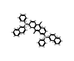 Cc1c2c(c(C)c3cc(N(c4ccccc4)c4ccc5ccccc5c4)ccc13)CC(N(c1ccccc1)c1ccc3ccccc3c1)C=C2